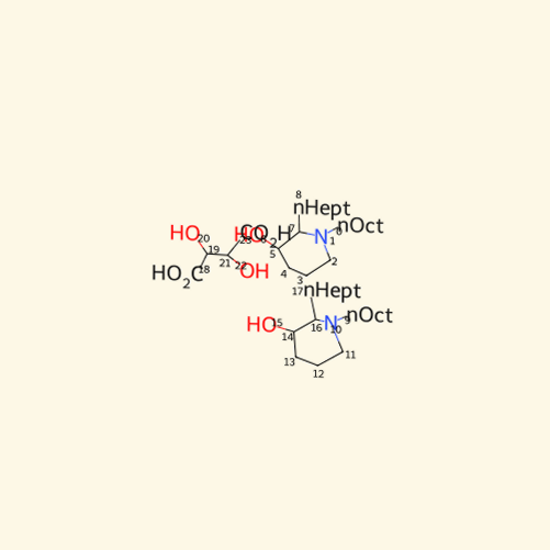 CCCCCCCCN1CCCC(O)C1CCCCCCC.CCCCCCCCN1CCCC(O)C1CCCCCCC.O=C(O)C(O)C(O)C(=O)O